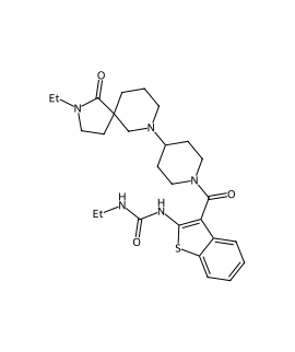 CCNC(=O)Nc1sc2ccccc2c1C(=O)N1CCC(N2CCCC3(CCN(CC)C3=O)C2)CC1